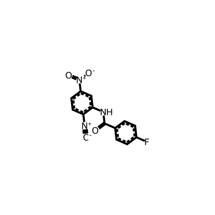 [C-]#[N+]c1ccc([N+](=O)[O-])cc1NC(=O)c1ccc(F)cc1